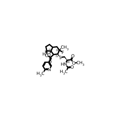 COC(=O)[C@H](CS[C@H]1C2C(=O)O[C@@H]3CCC(C[C@]1(C)F)[C@]23OCc1ccc(C)nc1)NC(C)=O